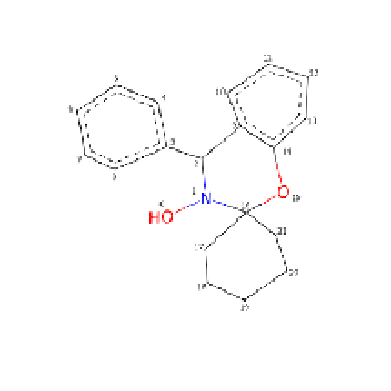 ON1C(c2ccccc2)c2ccccc2OC12CCCCC2